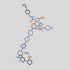 C#Cc1ccc(CNC(=O)[C@@H]2C[C@@H](O)CN2C(=O)[C@@H](NC(=O)N2CCC(N3CCC(c4cnc(N5CCc6[nH]c7nnc(-c8ccccc8O)cc7c6[C@H]5C)nc4)CC3)CC2)C(C)(C)CCN2CCNCC2)cc1